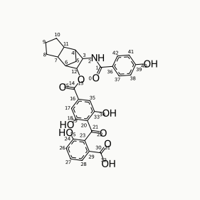 O=C(NC1C2CC(C3CCCC32)C1OC(=O)c1cc(O)c(C(=O)c2c(O)cccc2C(=O)O)c(O)c1)c1ccc(O)cc1